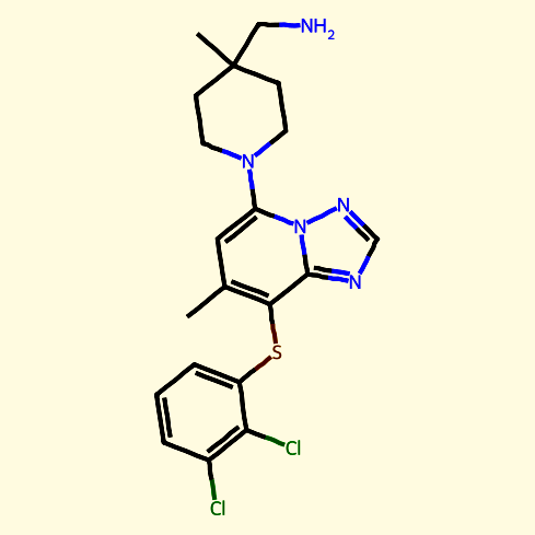 Cc1cc(N2CCC(C)(CN)CC2)n2ncnc2c1Sc1cccc(Cl)c1Cl